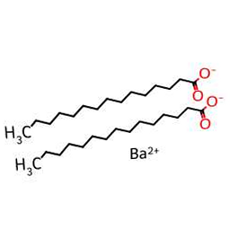 CCCCCCCCCCCCCCC(=O)[O-].CCCCCCCCCCCCCCC(=O)[O-].[Ba+2]